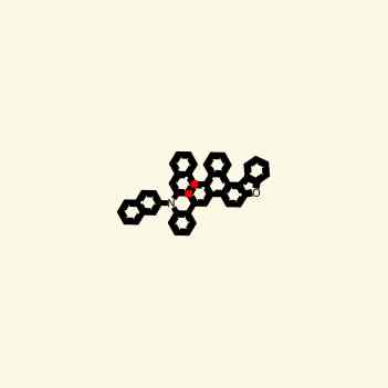 c1ccc(N(c2ccc3ccccc3c2)c2ccc3ccccc3c2)c(-c2ccc3c4ccccc4c4c(ccc5oc6ccccc6c54)c3c2)c1